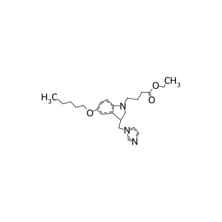 CCCCCOc1ccc2c(c1)C(Cn1ccnc1)CN2CCCC(=O)OCC